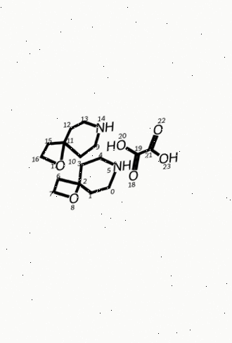 C1CC2(CCN1)CCO2.C1CC2(CCN1)CCO2.O=C(O)C(=O)O